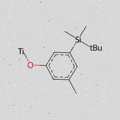 Cc1cc([O][Ti])cc([Si](C)(C)C(C)(C)C)c1